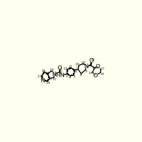 O=C(Nc1ccc(C2CCN(C(=O)C3COCCO3)CC2)cc1)N1Cc2ccncc2C1